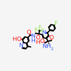 Cc1ccnc2c(O)cc(C(=O)NC[C@](O)(c3cc4c(c(-c5ccc(F)cc5)n3)OC[C@]4(C)C(N)=O)C(F)(F)F)cc12